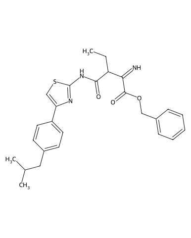 CCC(C(=N)C(=O)OCc1ccccc1)C(=O)Nc1nc(-c2ccc(CC(C)C)cc2)cs1